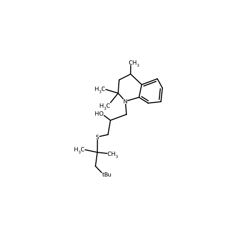 CC1CC(C)(C)N(CC(O)CSC(C)(C)CC(C)(C)C)c2ccccc21